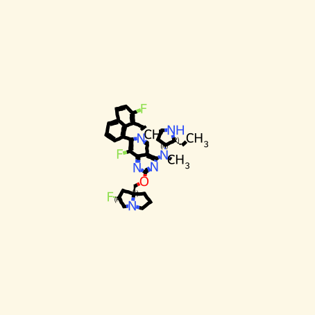 C#Cc1c(F)ccc2cccc(-c3ncc4c(N(C)[C@@H]5CCN[C@@H]5CC)nc(OC[C@@]56CCCN5C[C@H](F)C6)nc4c3F)c12